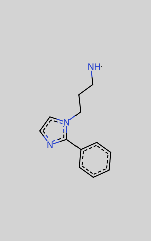 [NH]CCCn1ccnc1-c1ccccc1